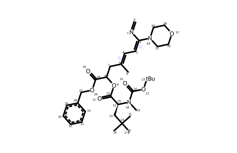 C=N/C(=C\C=C(/C)CC(OC(=O)[C@H](CC(C)(C)F)N(C)C(=O)OC(C)(C)C)C(=O)OCc1ccccc1)N1CCOCC1